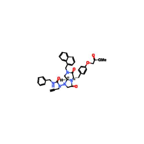 C#CCN(C(=O)NCc1ccccc1)N1CC(=O)N2[C@@H](Cc3ccc(OCC(=O)OC)cc3)C(=O)N(Cc3cccc4ccccc34)C[C@@H]21